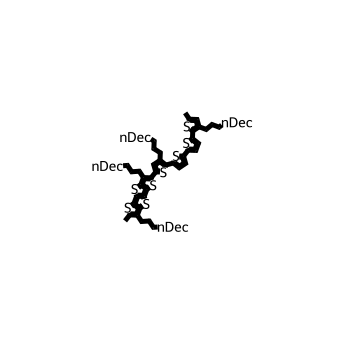 CCCCCCCCCCCCCc1cc(C)sc1-c1ccc(-c2ccc(-c3sc(-c4sc5c(sc6c7sc(C)c(CCCCCCCCCCCCC)c7sc56)c4CCCCCCCCCCCCC)cc3CCCCCCCCCCCCC)s2)s1